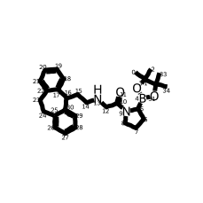 CC1(C)OB(C2CCCN2C(=O)CNCCC2c3ccccc3CCc3ccccc32)OC1(C)C